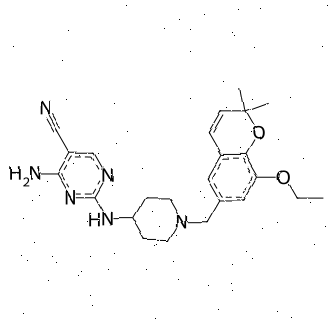 CCOc1cc(CN2CCC(Nc3ncc(C#N)c(N)n3)CC2)cc2c1OC(C)(C)C=C2